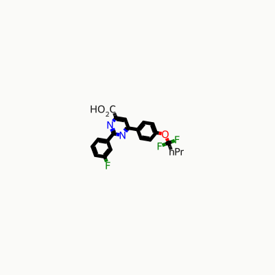 CCCC(F)(F)Oc1ccc(-c2cc(C(=O)O)nc(-c3cccc(F)c3)n2)cc1